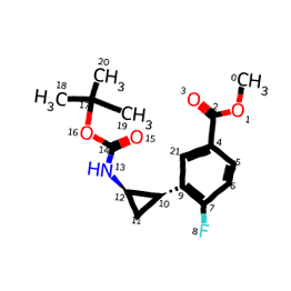 COC(=O)c1ccc(F)c([C@@H]2C[C@H]2NC(=O)OC(C)(C)C)c1